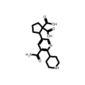 NC(=O)c1cc(C2CCCC2(C(=O)O)C(=O)O)cnc1C1CCNCC1